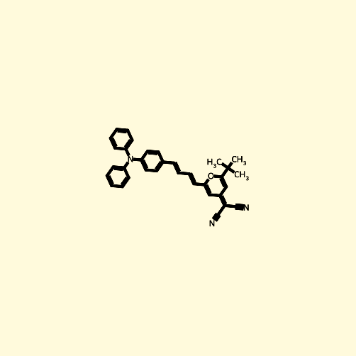 CC(C)(C)C1=CC(=C(C#N)C#N)C=C(/C=C/C=C/c2ccc(N(c3ccccc3)c3ccccc3)cc2)O1